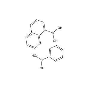 OB(O)c1cccc2ccccc12.OB(O)c1ccccc1